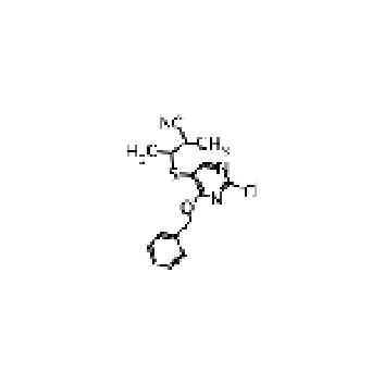 CC(C#N)C(C)Sc1cnc(Cl)nc1OCc1ccccc1